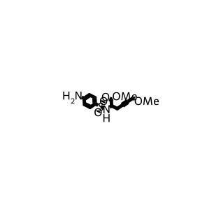 COCC#CCC(NS(=O)(=O)c1ccc(N)cc1)C(=O)OC